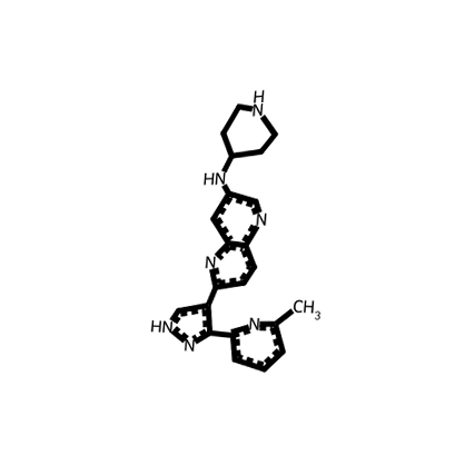 Cc1cccc(-c2n[nH]cc2-c2ccc3ncc(NC4CCNCC4)cc3n2)n1